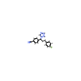 N#Cc1ccc(C(CCc2ccc(F)cc2)n2cnnn2)cc1